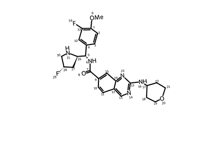 COc1ccc([C@H](NC(=O)c2ccc3cnc(NC4CCOCC4)nc3c2)[C@H]2C[C@H](F)CN2)cc1F